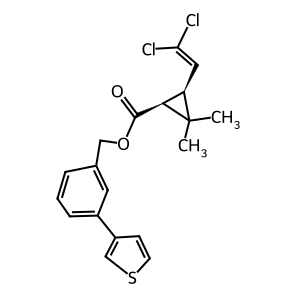 CC1(C)[C@H](C=C(Cl)Cl)[C@@H]1C(=O)OCc1cccc(-c2ccsc2)c1